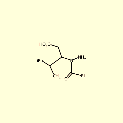 CCC(=O)N(N)C(CC(=O)O)C(C)C(C)CC